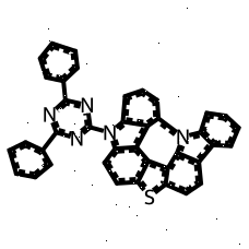 c1ccc(-c2nc(-c3ccccc3)nc(-n3c4ccc5sc6ccc7c8ccccc8n8c9cccc3c9c4c5c6c78)n2)cc1